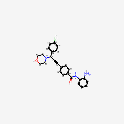 Nc1ccccc1NC(=O)c1ccc(C#CC(c2ccc(Cl)cc2)N2CCOCC2)cc1